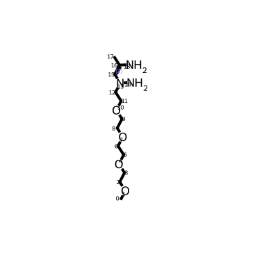 COCCOCCOCCOCCN(N)/C=C(/C)N